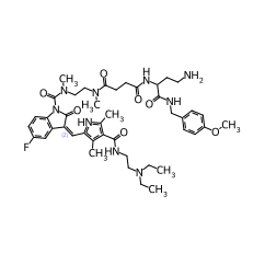 CCN(CC)CCNC(=O)c1c(C)[nH]c(/C=C2\C(=O)N(C(=O)N(C)CCN(C)C(=O)CCC(=O)NC(CCN)C(=O)NCc3ccc(OC)cc3)c3ccc(F)cc32)c1C